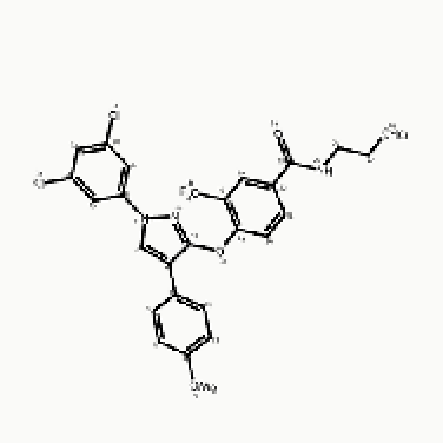 COc1ccc(-c2cn(-c3cc(Cl)cc(Cl)c3)nc2Oc2ccc(C(=O)NCCC=O)cc2C(F)(F)F)cc1